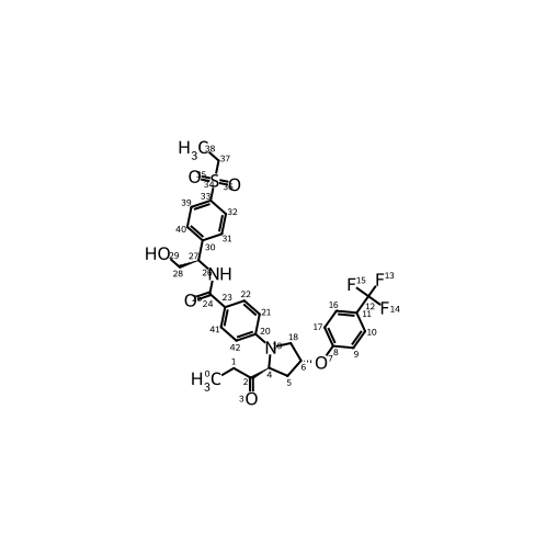 CCC(=O)[C@@H]1C[C@@H](Oc2ccc(C(F)(F)F)cc2)CN1c1ccc(C(=O)N[C@@H](CO)c2ccc(S(=O)(=O)CC)cc2)cc1